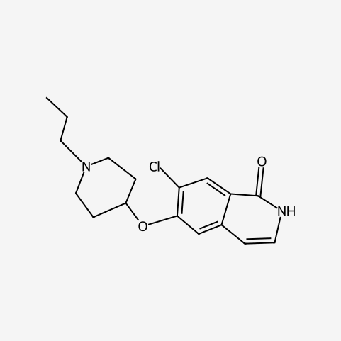 CCCN1CCC(Oc2cc3cc[nH]c(=O)c3cc2Cl)CC1